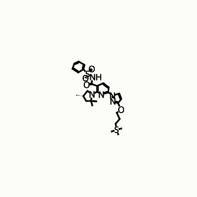 C[C@@H]1CN(c2nc(-n3ccc(OCCCS(C)(C)C)n3)ccc2C(=O)NS(=O)(=O)c2ccccc2)C(C)(C)C1